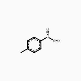 CO[PH](=O)c1ccc(C)cc1